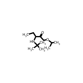 CCC(NC(C)(C)C)C(=O)COC(C)C